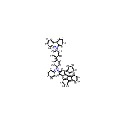 c1ccc(N(c2ccc(-c3ccc(-n4c5ccccc5c5ccccc54)cc3)cc2)c2ccc(C3(c4ccccc4)c4ccccc4-c4ccccc43)cc2)cc1